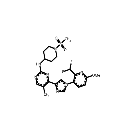 COc1ccc(-n2cnc(-c3nc(NC4CCN(S(C)(=O)=O)CC4)ncc3C(F)(F)F)c2)c(C(F)F)n1